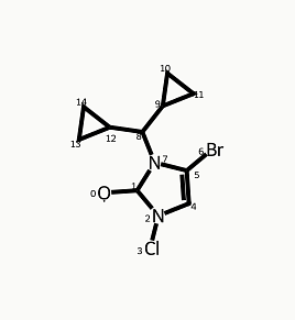 [O]C1N(Cl)C=C(Br)N1C(C1CC1)C1CC1